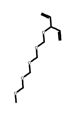 C=CC(C=C)OCOCOCOCOC